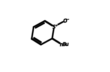 CCCCC1C=CC=C[S+]1[O-]